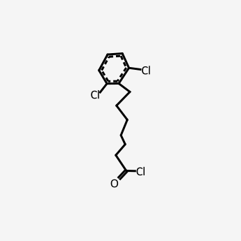 O=C(Cl)CCCCCCc1c(Cl)cccc1Cl